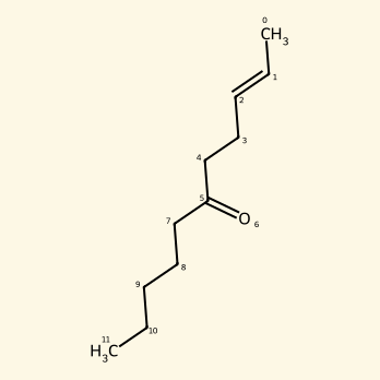 CC=CCCC(=O)CCCCC